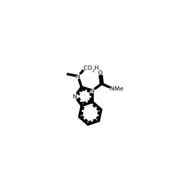 CNC(=O)n1c(N(C)C(=O)O)nc2ccccc21